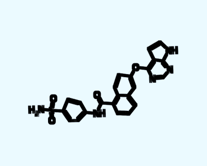 NS(=O)(=O)c1ccc(NC(=O)c2cccc3cc(Oc4ncnc5[nH]ccc45)ccc23)cc1